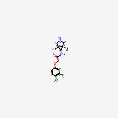 O=C(COc1ccc(Cl)c(F)c1)N[C@H]1[C@@H]2CNC[C@@H]21